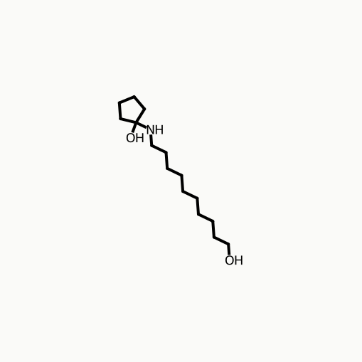 OCCCCCCCCCCNC1(O)CCCC1